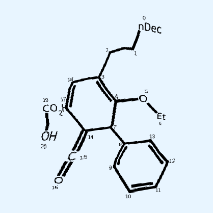 CCCCCCCCCCCCC1=C(OCC)C(c2ccccc2)C(=C=O)C=C1.O=C(O)O